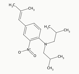 CC(C)=Cc1ccc(N(CC(C)C)CC(C)C)c([N+](=O)[O-])c1